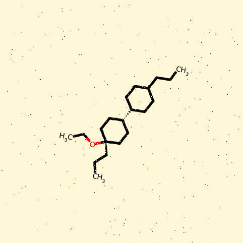 CCCC1CCC([C@H]2CC[C@@](CCC)(OCC)CC2)CC1